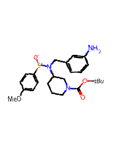 COc1ccc([S+]([O-])N(Cc2cccc(N)c2)C2CCCN(C(=O)OC(C)(C)C)C2)cc1